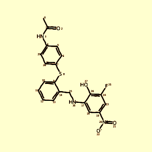 CC(=O)Nc1ccc(Sc2ccccc2CNc2cc([N+](=O)[O-])cc(F)c2O)cc1